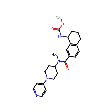 CN(C(=O)c1ccc2c(c1)C(NC(=O)OC(C)(C)C)CCC2)C1CCN(c2ccncc2)CC1